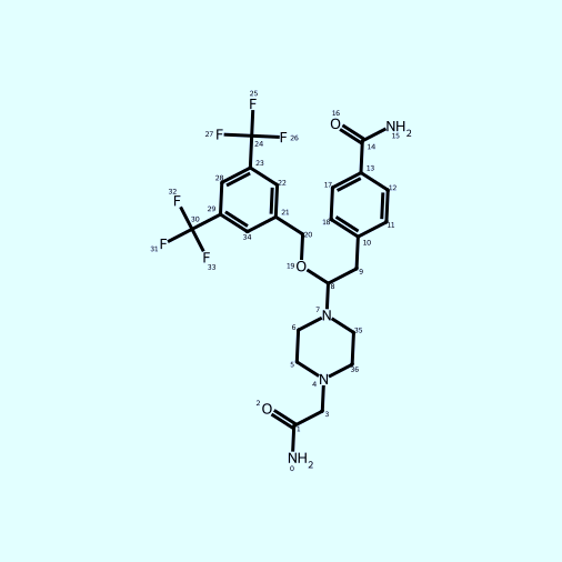 NC(=O)CN1CCN(C(Cc2ccc(C(N)=O)cc2)OCc2cc(C(F)(F)F)cc(C(F)(F)F)c2)CC1